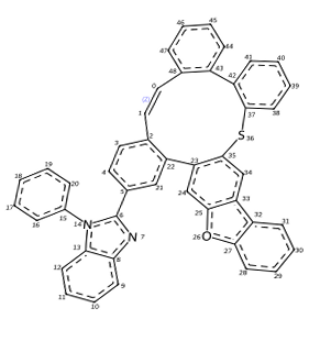 C1=C\c2ccc(-c3nc4ccccc4n3-c3ccccc3)cc2-c2cc3oc4ccccc4c3cc2Sc2ccccc2-c2ccccc2/1